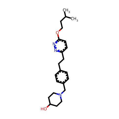 CC(C)CCOc1ccc(CCc2ccc(CN3CCC(O)CC3)cc2)nn1